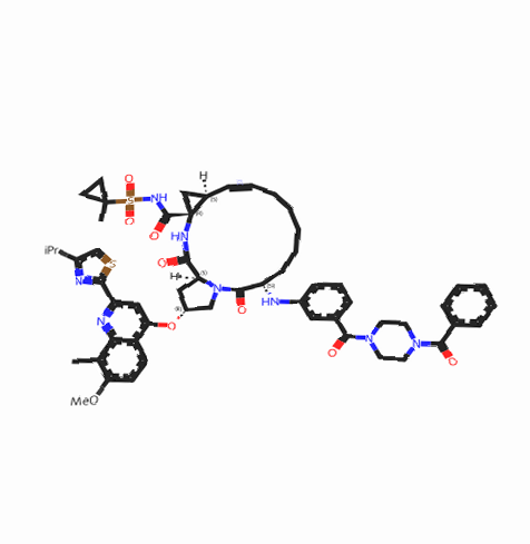 COc1ccc2c(O[C@@H]3C[C@H]4C(=O)N[C@]5(C(=O)NS(=O)(=O)C6(C)CC6)C[C@H]5/C=C\CCCCC[C@H](Nc5cccc(C(=O)N6CCN(C(=O)c7ccccc7)CC6)c5)C(=O)N4C3)cc(-c3nc(C(C)C)cs3)nc2c1C